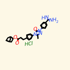 Cc1nn(-c2ccc(C(=N)N)cc2)c(=O)n1-c1ccc(CCC(=O)OC2CC3CCC2C3)cc1.Cl